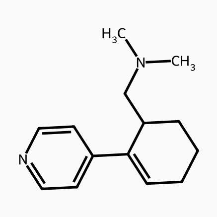 CN(C)CC1CCCC=C1c1ccncc1